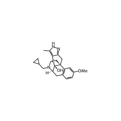 COc1ccc2c(c1)[C@]13CCN(CC4CC4)[C@H](C2)[C@]1(O)Cc1c(n[nH]c1C)C3